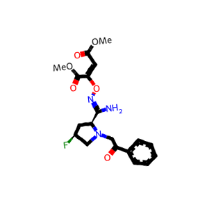 COC(=O)C=C(O/N=C(\N)[C@@H]1C[C@H](F)CN1CC(=O)c1ccccc1)C(=O)OC